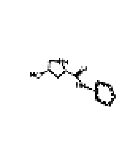 O=C(Nc1ccccc1)[C@H]1C[C@@H](O)CN1